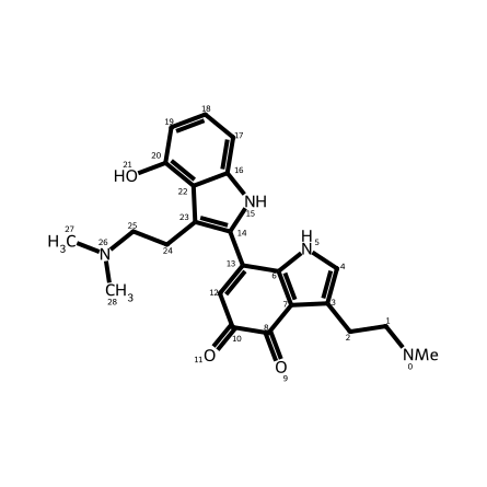 CNCCc1c[nH]c2c1C(=O)C(=O)C=C2c1[nH]c2cccc(O)c2c1CCN(C)C